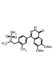 COc1cc2c(-c3ccc(CN(C)S(N)(=O)=O)c(C)c3)n[nH]c(=O)c2cc1OC